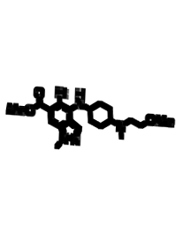 CCc1c(C(=O)OC)cc2c(cnn2C)c1NC1CCC(N(C)CCOC)CC1